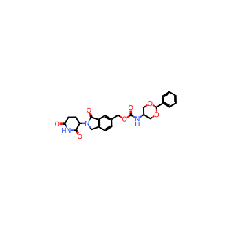 O=C1CCC(N2Cc3ccc(COC(=O)NC4COC(c5ccccc5)OC4)cc3C2=O)C(=O)N1